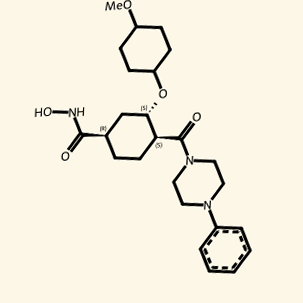 COC1CCC(O[C@H]2C[C@H](C(=O)NO)CC[C@@H]2C(=O)N2CCN(c3ccccc3)CC2)CC1